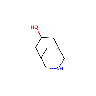 OC1CC2CNCC(C1)C2